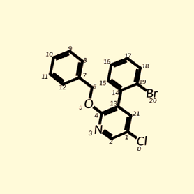 Clc1cnc(OCc2ccccc2)c(-c2ccccc2Br)c1